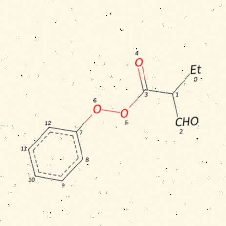 CCC(C=O)C(=O)OOc1ccccc1